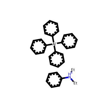 CC[NH+](CC)c1ccccc1.c1cc[c]([Al-]([c]2ccccc2)([c]2ccccc2)[c]2ccccc2)cc1